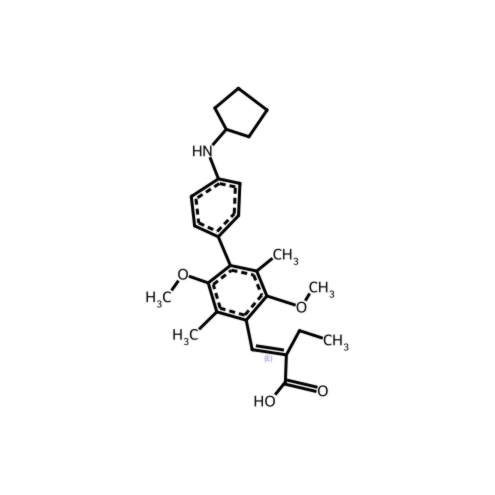 CC/C(=C\c1c(C)c(OC)c(-c2ccc(NC3CCCC3)cc2)c(C)c1OC)C(=O)O